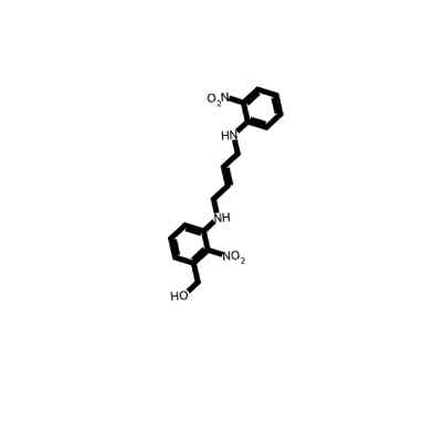 O=[N+]([O-])c1ccccc1NCC=CCNc1cccc(CO)c1[N+](=O)[O-]